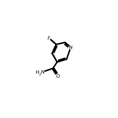 NC(=O)c1[c]c(F)cnc1